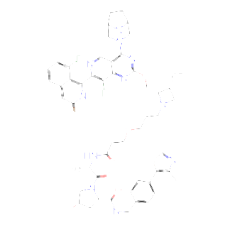 Cc1ncsc1-c1ccc([C@H](C)NC(=O)[C@@H]2C[C@@H](O)CN2C(=O)[C@@H](NC(=O)CCOCCCN2C[C@@H](C(F)(F)F)[C@H]2COc2nc(N3CC4CCC(C3)N4)c3cnc(-c4[nH]c(=S)cc5cccc(F)c45)c(F)c3n2)C(C)(C)C)cc1